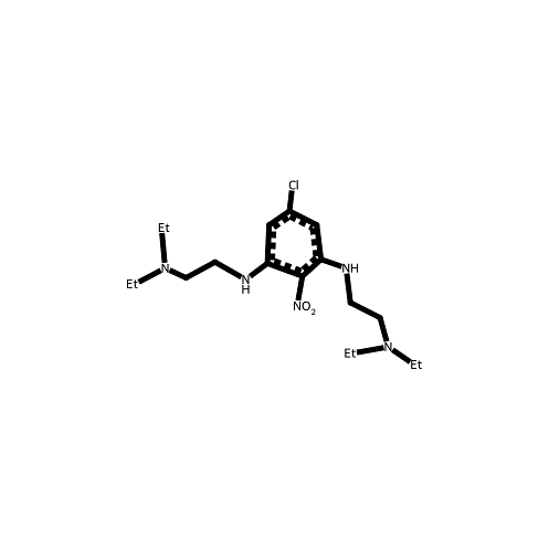 CCN(CC)CCNc1cc(Cl)cc(NCCN(CC)CC)c1[N+](=O)[O-]